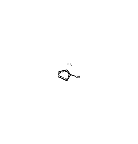 C.Oc1ccsc1